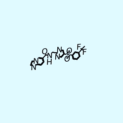 CC(F)(F)c1cccc(S(=O)(=O)c2cnc(CNC(=O)c3ccc4nccn4c3)nc2)c1